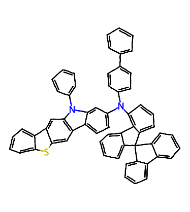 c1ccc(-c2ccc(N(c3ccc4c5cc6sc7ccccc7c6cc5n(-c5ccccc5)c4c3)c3cccc4c3-c3ccccc3C43c4ccccc4-c4ccccc43)cc2)cc1